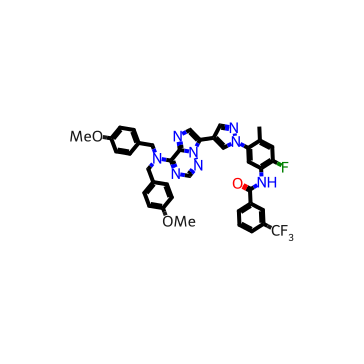 COc1ccc(CN(Cc2ccc(OC)cc2)c2ncnn3c(-c4cnn(-c5cc(NC(=O)c6cccc(C(F)(F)F)c6)c(F)cc5C)c4)cnc23)cc1